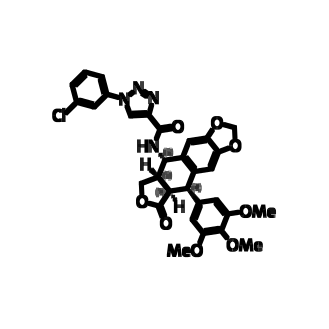 COc1cc([C@@H]2c3cc4c(cc3[C@@H](NC(=O)c3cn(-c5cccc(Cl)c5)nn3)[C@H]3COC(=O)[C@H]23)OCO4)cc(OC)c1OC